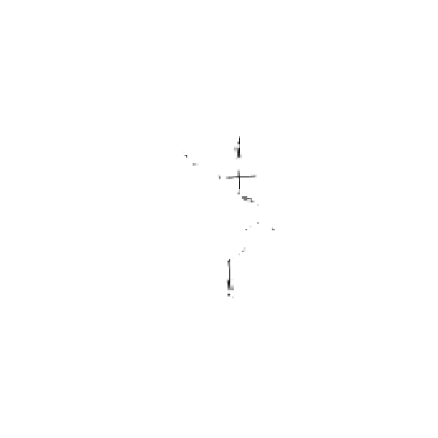 CCCCCC(C)(C#N)N=NC(C)CCCC#N